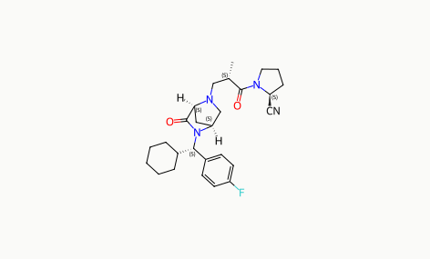 C[C@@H](CN1C[C@@H]2C[C@H]1C(=O)N2[C@H](c1ccc(F)cc1)C1CCCCC1)C(=O)N1CCC[C@H]1C#N